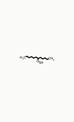 CCCCCCC(CCCCC)OS